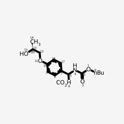 CCCCOC(=O)NC(C(=O)O)c1ccc(OC[C@@H](C)O)cc1